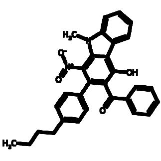 CCCCc1ccc(-c2c(C(=O)c3ccccc3)c(O)c3c4ccccc4n(C)c3c2[N+](=O)[O-])cc1